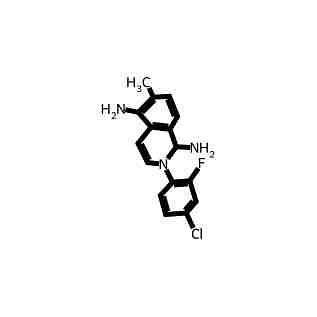 Cc1ccc2c(c1N)C=CN(c1ccc(Cl)cc1F)C2N